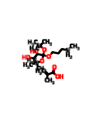 C=C(C)C(=O)O.C[SiH2]CCCOC(O[Si](C)(C)C)(O[Si](C)(C)C)C(O)CO